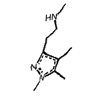 CNCCc1nn(C)c(C)c1C